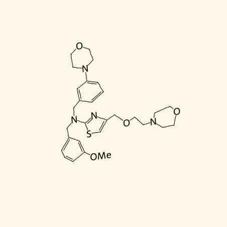 COc1cccc(CN(Cc2cccc(N3CCOCC3)c2)c2nc(COCCN3CCOCC3)cs2)c1